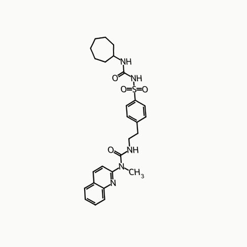 CN(C(=O)NCCc1ccc(S(=O)(=O)NC(=O)NC2CCCCCC2)cc1)c1ccc2ccccc2n1